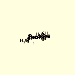 CN(C)CC[C@H](CSc1ccccc1)Nc1ccc(S(=O)(=O)NCc2ccc(N3CCN(C(=O)c4ccccc4-c4ccc(N(C)C)cc4)CC3)cc2)cc1[N+](=O)[O-]